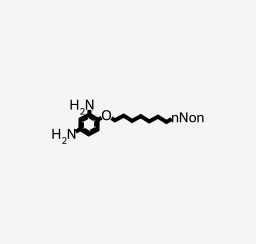 CCCCCCCCCCCCCCCCOc1ccc(N)cc1N